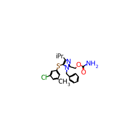 Cc1cc(Cl)cc(Sc2c(C(C)C)nc(COC(N)=O)n2Cc2ccccc2)c1